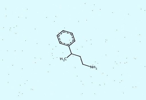 CC(CCN)c1ccccc1